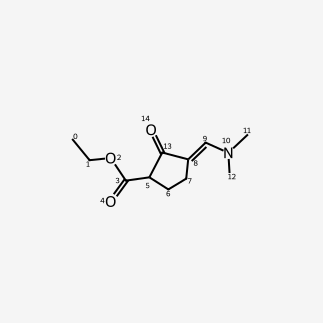 CCOC(=O)C1CCC(=CN(C)C)C1=O